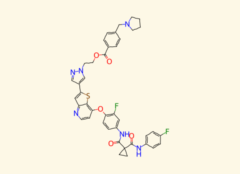 O=C(OCCn1cc(-c2cc3nccc(Oc4ccc(NC(=O)C5(C(=O)Nc6ccc(F)cc6)CC5)cc4F)c3s2)cn1)c1ccc(CN2CCCC2)cc1